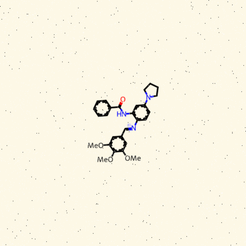 COc1cc(/C=N/c2ccc(N3CCCC3)cc2NC(=O)c2ccccc2)cc(OC)c1OC